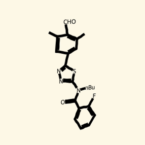 CCCCN(C(=O)c1ccccc1F)c1nnc(-c2cc(C)c(C=O)c(C)c2)s1